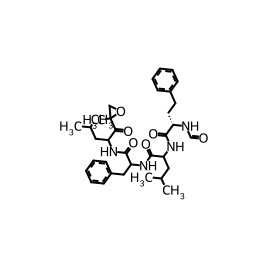 CC(C)CC(NC(=O)[C@H](CCc1ccccc1)NC=O)C(=O)NC(Cc1ccccc1)C(=O)NC(CC(C)C)C(=O)C1(C)CO1